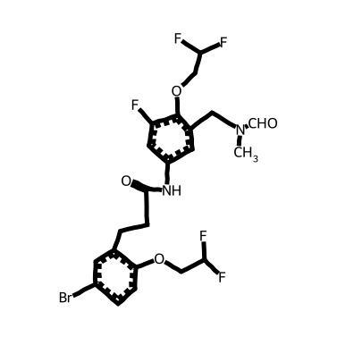 CN(C=O)Cc1cc(NC(=O)CCc2cc(Br)ccc2OCC(F)F)cc(F)c1OCC(F)F